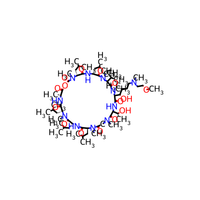 COCCN(C)CC[C@@H](C)[C@@H](O)C1C(=O)NC([C@@H](C)O)C(=O)N(C)CC(=O)N(C)[C@@H](CC(C)C)C(=O)N[C@H](CC(C)C)C(=O)N(C)[C@H](CC(C)C)C(=O)N[C@H](C)C(=O)OC(=O)N(C)[C@H](CC(C)C)C(=O)N[C@H](CC(C)C)C(=O)N(C)C(C(C)C)C(=O)N1C